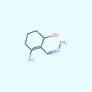 C/N=C\C1=C(N)CCCC1O